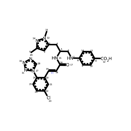 Cc1cc(CC(CNc2ccc(C(=O)O)cc2)NC(=O)/C=C/c2cc(Cl)ccc2-n2cnnn2)n(C)n1